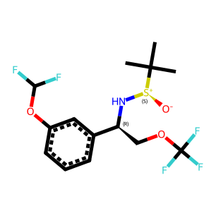 CC(C)(C)[S@@+]([O-])N[C@@H](COC(F)(F)F)c1cccc(OC(F)F)c1